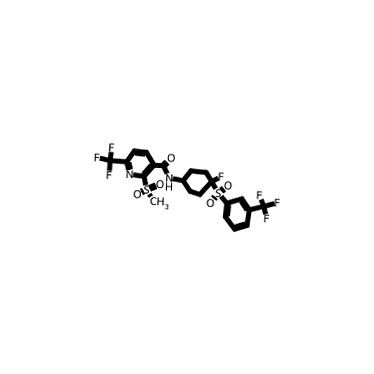 CS(=O)(=O)c1nc(C(F)(F)F)ccc1C(=O)NC1CCC(F)(S(=O)(=O)c2cccc(C(F)(F)F)c2)CC1